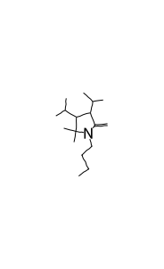 C=C1C(C(C)C)C(C(C)C)C(C)(C)N1CCCC